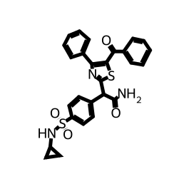 NC(=O)C(c1ccc(S(=O)(=O)NC2CC2)cc1)c1nc(-c2ccccc2)c(C(=O)c2ccccc2)s1